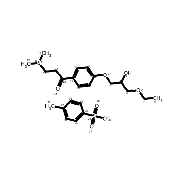 CCOCC(O)COc1ccc(C(=O)CC[S+](C)C)cc1.Cc1ccc(S(=O)(=O)[O-])cc1